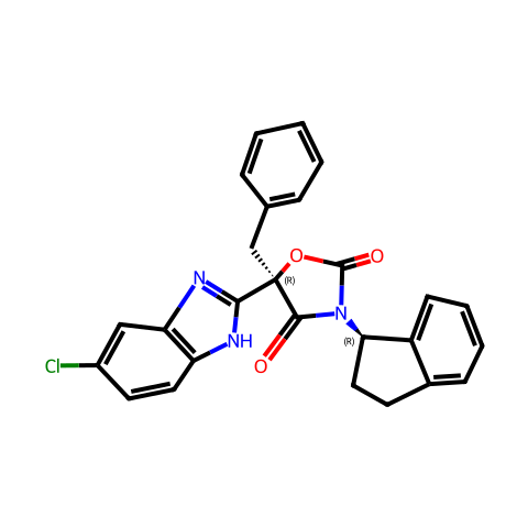 O=C1O[C@](Cc2ccccc2)(c2nc3cc(Cl)ccc3[nH]2)C(=O)N1[C@@H]1CCc2ccccc21